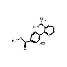 COC(=O)c1ccc(-c2nccnc2[C@@H](C)N)cc1.Cl